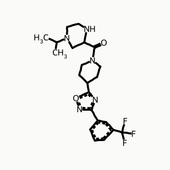 CC(C)N1CCNC(C(=O)N2CCC(c3nc(-c4cccc(C(F)(F)F)c4)no3)CC2)C1